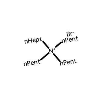 CCCCCCC[N+](CCCCC)(CCCCC)CCCCC.[Br-]